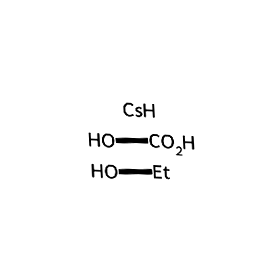 CCO.O=C(O)O.[CsH]